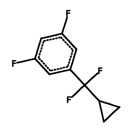 Fc1cc(F)cc(C(F)(F)C2CC2)c1